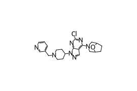 Clc1nc(N2CC3CCC(C2)O3)c2cnn(C3CCN(Cc4cccnc4)CC3)c2n1